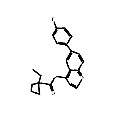 CCC1(C(=O)Sc2ccnc3ccc(-c4ccc(F)cc4)cc23)CCC1